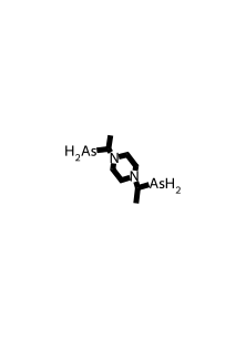 CC([AsH2])N1CCN(C(C)[AsH2])CC1